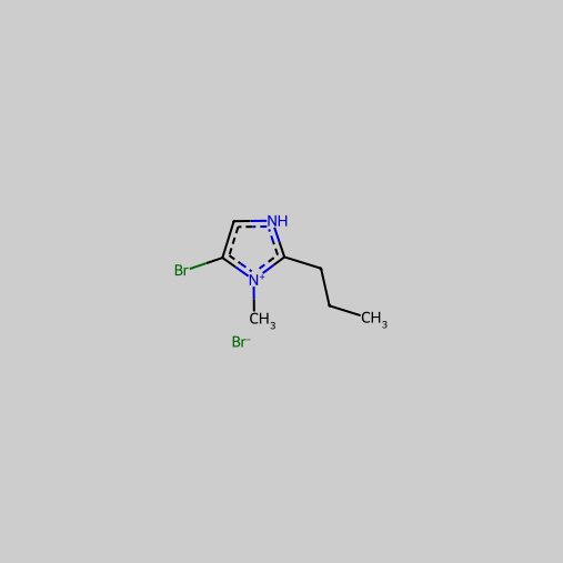 CCCc1[nH]cc(Br)[n+]1C.[Br-]